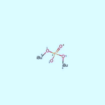 CCC(C)OP([O])(=O)OC(C)CC